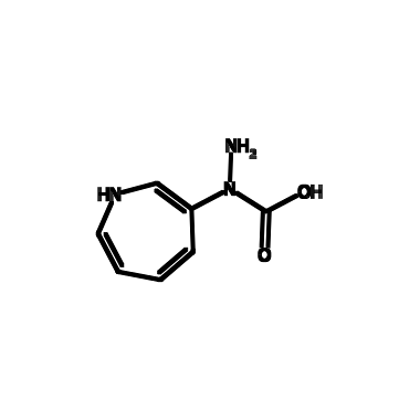 NN(C(=O)O)C1=CNC=CC=C1